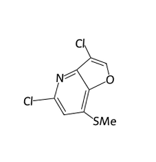 CSc1cc(Cl)nc2c(Cl)coc12